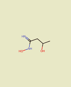 CC(O)CC(=N)NO